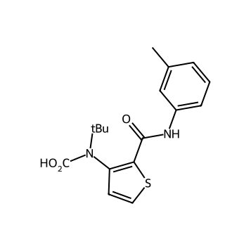 Cc1cccc(NC(=O)c2sccc2N(C(=O)O)C(C)(C)C)c1